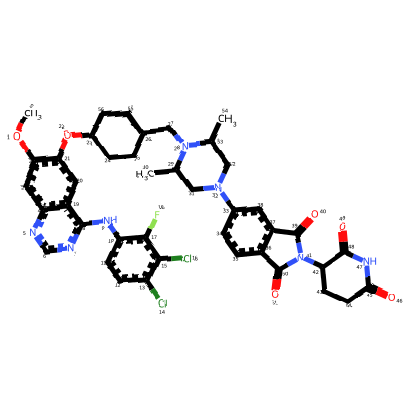 COc1cc2ncnc(Nc3ccc(Cl)c(Cl)c3F)c2cc1OC1CCC(CN2C(C)CN(c3ccc4c(c3)C(=O)N(C3CCC(=O)NC3=O)C4=O)CC2C)CC1